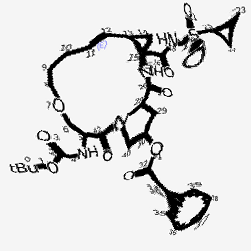 CC(C)(C)OC(=O)NC1COCCC/C=C/C2CC2(C(=O)NS(=O)(=O)C2CC2)NC(=O)C2CC(OC(=O)c3ccccc3)CN2C1=O